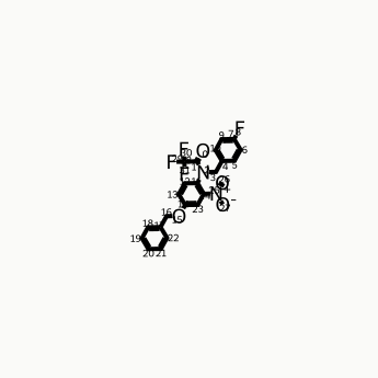 O=C(N(Cc1ccc(F)cc1)c1ccc(OCc2ccccc2)cc1[N+](=O)[O-])C(F)(F)F